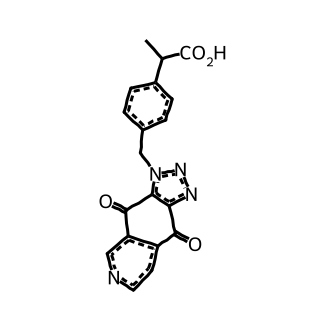 CC(C(=O)O)c1ccc(Cn2nnc3c2C(=O)c2cnccc2C3=O)cc1